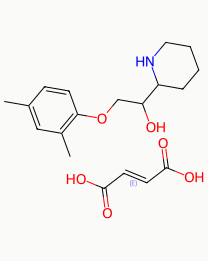 Cc1ccc(OCC(O)C2CCCCN2)c(C)c1.O=C(O)/C=C/C(=O)O